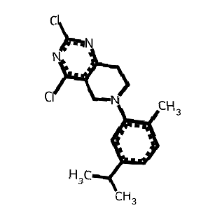 Cc1ccc(C(C)C)cc1N1CCc2nc(Cl)nc(Cl)c2C1